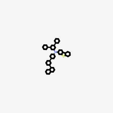 c1ccc(-c2cc(-c3ccccc3)cc(N(c3ccc(-c4cccc(-c5cccc6ccccc56)c4)cc3)c3ccc4c(c3)sc3ccccc34)c2)cc1